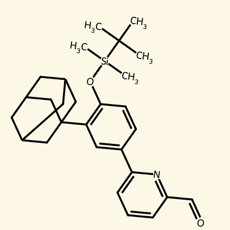 CC(C)(C)[Si](C)(C)Oc1ccc(-c2cccc(C=O)n2)cc1C12CC3CC(CC(C3)C1)C2